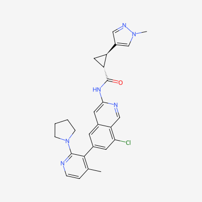 Cc1ccnc(N2CCCC2)c1-c1cc(Cl)c2cnc(NC(=O)[C@@H]3C[C@H]3c3cnn(C)c3)cc2c1